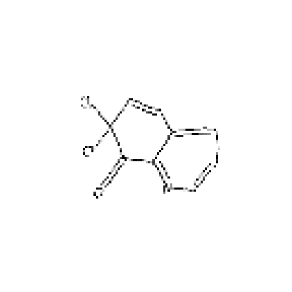 O=C1c2ncccc2C=CC1(Cl)Cl